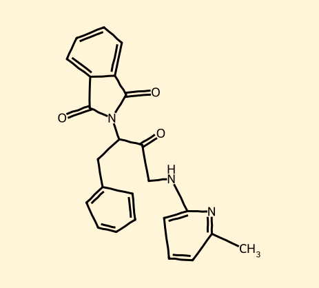 Cc1cccc(NCC(=O)C(Cc2ccccc2)N2C(=O)c3ccccc3C2=O)n1